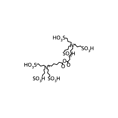 O=C(CCCCC[N+](CCCS(=O)(=O)O)(CCCS(=O)(=O)O)CCCS(=O)(=O)O)OC(=O)CCCCC[N+](CCCS(=O)(=O)O)(CCCS(=O)(=O)O)CCCS(=O)(=O)O